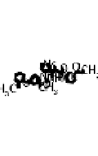 C=CC(=O)N1CCC[C@@H](NC(=O)c2sc3nccc4c3c2NC(=O)N4c2ccc(Oc3ccccc3CC)cc2C)C1